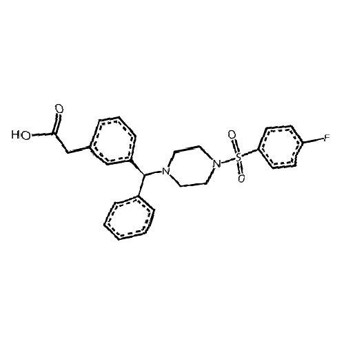 O=C(O)Cc1cccc([C@H](c2ccccc2)N2CCN(S(=O)(=O)c3ccc(F)cc3)CC2)c1